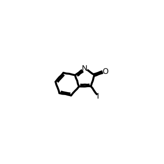 O=C1N=c2ccccc2=C1I